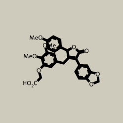 COc1ccc(C2OC(=O)C(c3ccc4c(c3)OCO4)=C2Cc2cc(OC)c(OC)c(OCC(=O)O)c2)cc1